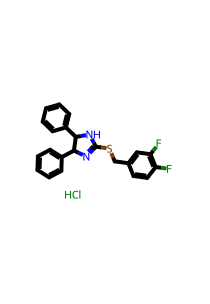 Cl.Fc1ccc(CSC2=NC(c3ccccc3)C(c3ccccc3)N2)cc1F